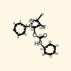 Cc1nn(-c2ccccc2)c(OC(=O)Nc2ccccc2)c1F